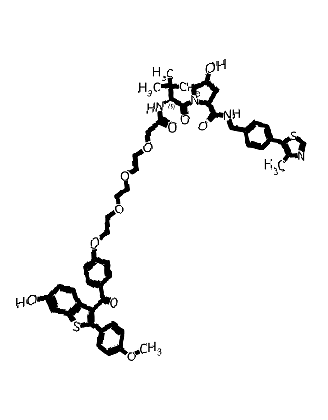 COc1ccc(-c2sc3cc(O)ccc3c2C(=O)c2ccc(OCCOCCOCCOCC(=O)N[C@H](C(=O)N3CC(O)CC3C(=O)NCc3ccc(-c4scnc4C)cc3)C(C)(C)C)cc2)cc1